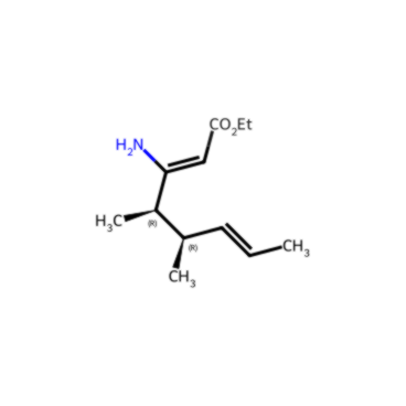 CC=C[C@@H](C)[C@@H](C)C(N)=CC(=O)OCC